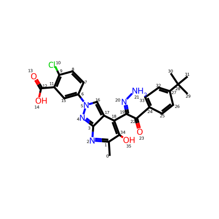 Cc1nc2nn(-c3ccc(Cl)c(C(=O)O)c3)cc2c(C(=NN)C(=O)c2ccc(C(C)(C)C)cc2)c1O